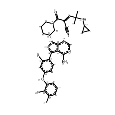 CC(C)(C=C(C#N)C(=O)N1CCC[C@@H](n2nc(-c3ccc(Oc4cccc(F)c4F)cc3F)c3c(N)ncnc32)C1)NC1CC1